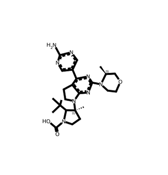 C[C@H]1COCCN1c1nc(-c2cnc(N)nc2)c2c(n1)N([C@@]1(C)CCN(C(=O)O)C1C(C)(C)C)CC2